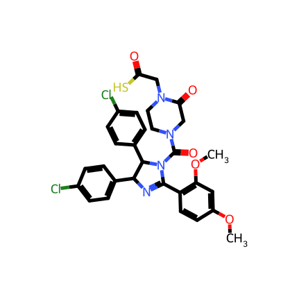 COc1ccc(C2=NC(c3ccc(Cl)cc3)C(c3ccc(Cl)cc3)N2C(=O)N2CCN(CC(=O)S)C(=O)C2)c(OC)c1